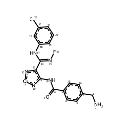 NCc1ccc(C(=O)Nc2nonc2C(=NF)Nc2cccc(Cl)c2)cc1